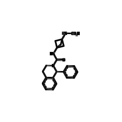 O=C(O)NC12CC(NC(=O)N3CCc4ccccc4C3c3ccccc3)(C1)C2